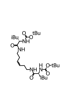 CCC(C)[C@H](NC(=O)OC(C)(C)C)C(=O)NCC/C=C\CCNC(=O)[C@@H](NC(=O)OC(C)(C)C)C(C)CC